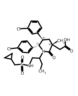 CCC(CNS(=O)(=O)CC1CC1)N1C(=O)[C@@](C)(CC(=O)O)C[C@H](c2cccc(Cl)c2)[C@H]1c1ccc(Cl)cc1